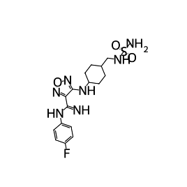 N=C(Nc1ccc(F)cc1)c1nonc1NC1CCC(CNS(N)(=O)=O)CC1